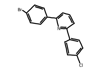 Clc1ccc(-c2cccc(-c3ccc(Br)cc3)n2)cc1